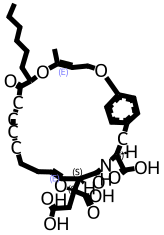 CCCCCCC1O/C(C)=C/COc2ccc(cc2)C[C@@H](C(=O)O)NC(=O)[C@H]([C@@](O)(CC(=O)O)C(=O)O)/C=C/CCCCCCC1=O